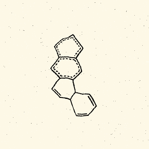 C1=CC2C=Cc3cc4ccccc4cc3C2C=C1